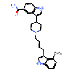 COc1cccc2[nH]cc(CCCCN3CCC(c4c[nH]c5ccc(C(N)=O)cc45)CC3)c12